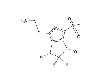 CS(=O)(=O)c1sc(OCC(F)(F)F)c2c1[C@H](O)C(F)(F)[C@@H]2F